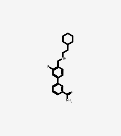 NC(=O)c1cccc(-c2ccc(CNCCC3CCCCC3)c(F)c2)c1